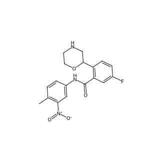 Cc1ccc(NC(=O)c2cc(F)ccc2C2CNCCO2)cc1[N+](=O)[O-]